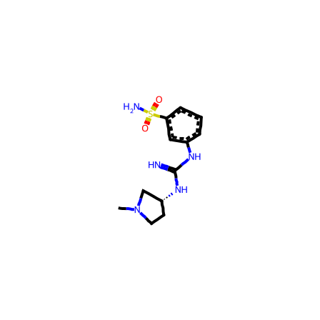 CN1CC[C@@H](NC(=N)Nc2cccc(S(N)(=O)=O)c2)C1